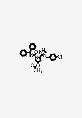 CC(=O)OC1CC(c2nncn2Cc2ccc(Cl)cc2)N(C(=O)NC(c2ccccc2)c2ccccc2)C1